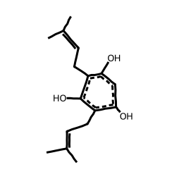 CC(C)=CCc1c(O)cc(O)c(CC=C(C)C)c1O